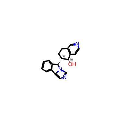 O[C@H]1c2ccncc2CC[C@H]1C1c2ccccc2-c2cncn21